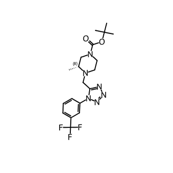 C[C@@H]1CN(C(=O)OC(C)(C)C)CCN1Cc1nnnn1-c1cccc(C(F)(F)F)c1